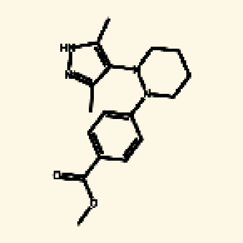 COC(=O)c1ccc(N2CCCCN2c2c(C)n[nH]c2C)cc1